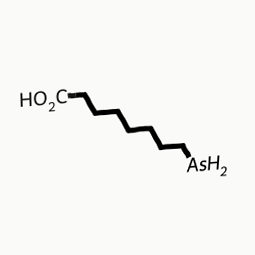 O=C(O)CCCCCCC[AsH2]